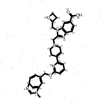 CN1C=NC2C=CC(COc3cccc(C4=CCN(Cc5nc6ccc(C(=O)O)cc6n5CC5CCO5)CC4)n3)=CC1=C2